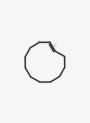 [C]1/C=C/CCCCCCCCC1